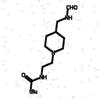 CC(C)(C)C(=O)NCCN1CCC(CNC=O)CC1